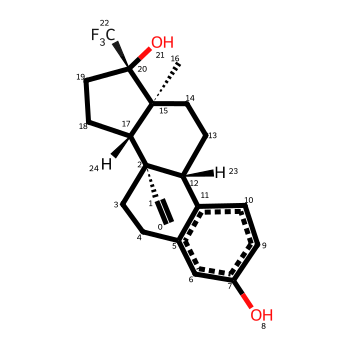 C=C[C@@]12CCc3cc(O)ccc3[C@H]1CC[C@@]1(C)[C@H]2CC[C@@]1(O)C(F)(F)F